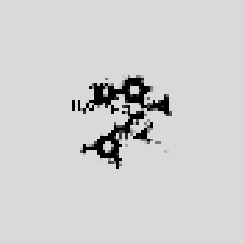 CC(=O)N[C@@H](Cc1cc(F)cc(F)c1)[C@@H](O)CN(c1cccc(-c2cc(C)cs2)c1)C1CC1